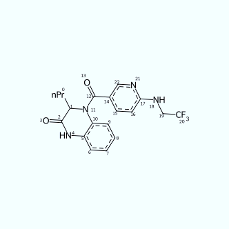 CCCC1C(=O)Nc2ccccc2N1C(=O)c1ccc(NCC(F)(F)F)nc1